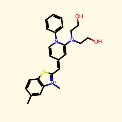 Cc1ccc2sc(/C=C3\C=CN(c4ccccc4)C(N(CCO)CCO)=C3)[n+](C)c2c1